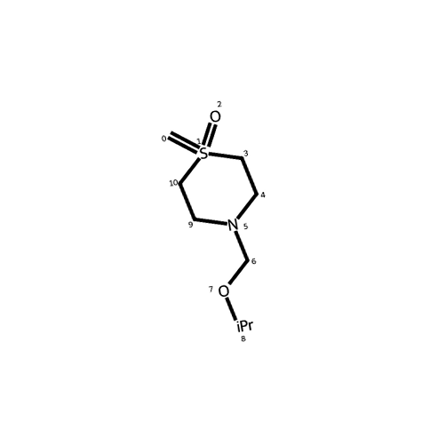 C=S1(=O)CCN(COC(C)C)CC1